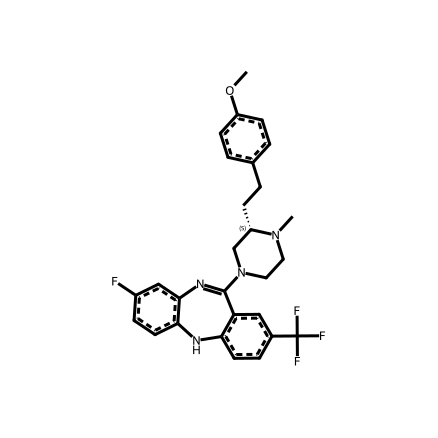 COc1ccc(CC[C@H]2CN(C3=Nc4cc(F)ccc4Nc4ccc(C(F)(F)F)cc43)CCN2C)cc1